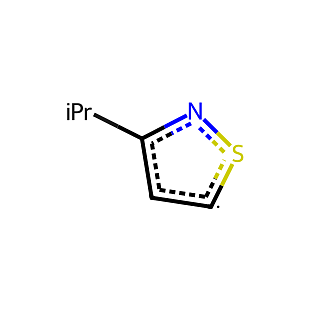 CC(C)c1c[c]sn1